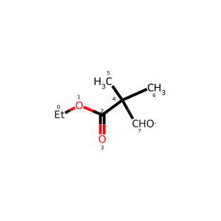 CCOC(=O)C(C)(C)[C]=O